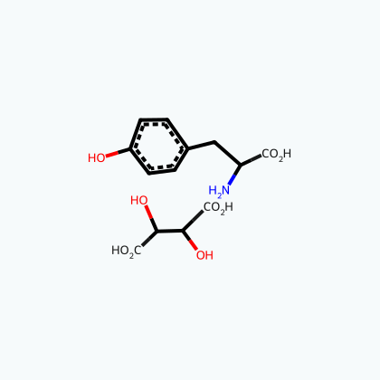 NC(Cc1ccc(O)cc1)C(=O)O.O=C(O)C(O)C(O)C(=O)O